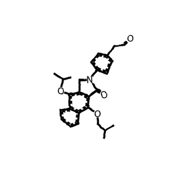 CC(C)COc1c2c(c(OC(C)C)c3ccccc13)CN(c1ccc(CC=O)cc1)C2=O